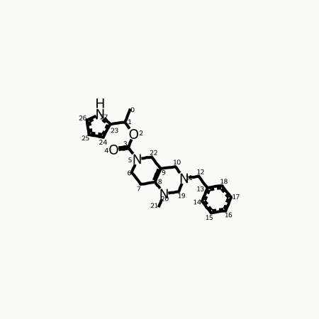 CC(OC(=O)N1CCC2=C(CN(Cc3ccccc3)CN2C)C1)c1ccc[nH]1